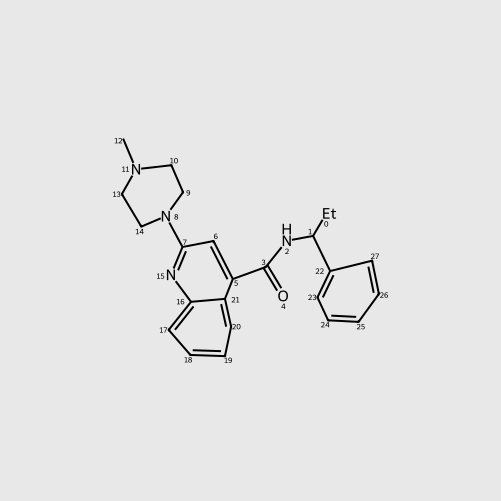 CCC(NC(=O)c1cc(N2CCN(C)CC2)nc2ccccc12)c1ccccc1